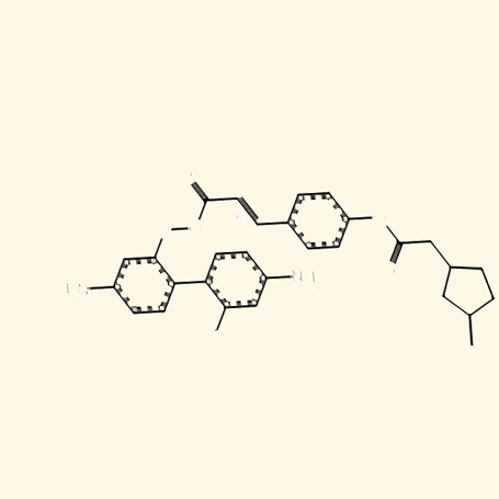 CC1CCC(CC(=O)Oc2ccc(/C=C/C(=O)OSc3cc(N)ccc3-c3ccc(N)cc3I)cc2)C1